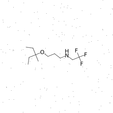 CCC(C)(CC)OCCCNCC(F)(F)F